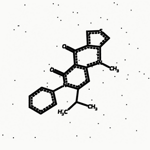 CC(C)c1cc2c(c(=O)c3cscc3n2C)c(=O)n1-c1ccccc1